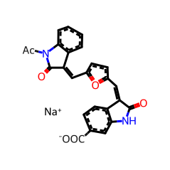 CC(=O)N1C(=O)/C(=C/c2ccc(/C=C3/C(=O)Nc4cc(C(=O)[O-])ccc43)o2)c2ccccc21.[Na+]